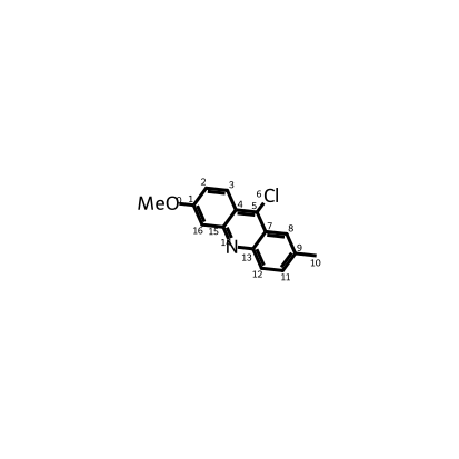 COc1ccc2c(Cl)c3cc(C)ccc3nc2c1